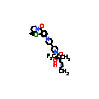 C=C/C=C\C=C(/C)[C@@](O)(C(=O)N1CCC(C2CCN(c3ccc(C(=O)N4CCCC5(CC5)C4)c(Cl)c3)CC2)CC1)C(F)(F)F